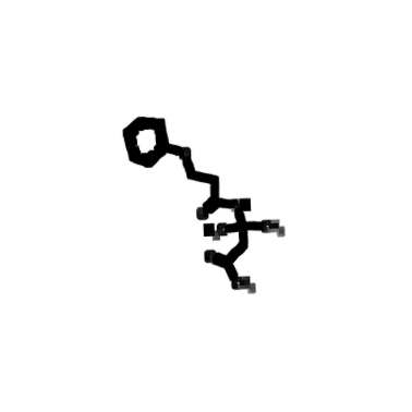 CC(=O)CC(C)(C)NC(=O)CCOc1ccccc1